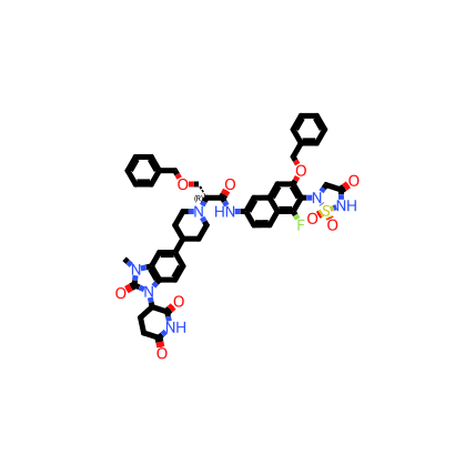 Cn1c(=O)n(C2CCC(=O)NC2=O)c2ccc(C3CCN([C@H](COCc4ccccc4)C(=O)Nc4ccc5c(F)c(N6CC(=O)NS6(=O)=O)c(OCc6ccccc6)cc5c4)CC3)cc21